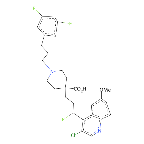 COc1ccc2ncc(Cl)c(C(F)CCC3(C(=O)O)CCN(CCCc4cc(F)cc(F)c4)CC3)c2c1